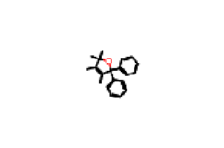 CC1=C(C)C(c2ccccc2)(c2ccccc2)OC1(C)C